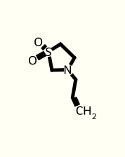 C=CCN1CCS(=O)(=O)C1